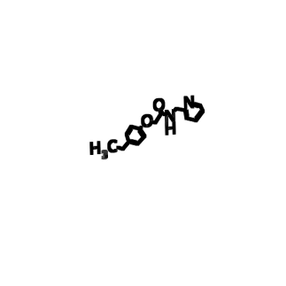 CCc1ccc(OCC(=O)NCc2ccccn2)cc1